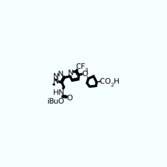 CC(C)COC(=O)NCc1c(-c2ccc(O[C@H]3CCC[C@H](C(=O)O)C3)c(C(F)(F)F)n2)nnn1C